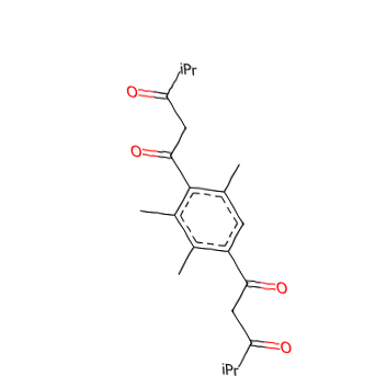 Cc1cc(C(=O)CC(=O)C(C)C)c(C)c(C)c1C(=O)CC(=O)C(C)C